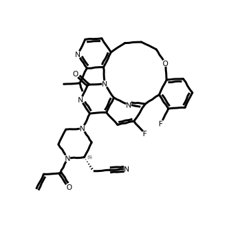 C=CC(=O)N1CCN(c2nc(=O)n3c4nc(c(F)cc24)-c2c(F)cccc2OCCCc2ccnc(C(C)C)c2-3)C[C@@H]1CC#N